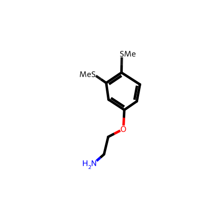 CSc1ccc(OCCN)cc1SC